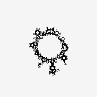 CCC[C@H]1C(=O)N[C@@H]([C@@H](C)CC)C(=O)N(C)CC(=O)N(C)[C@H]2C/C=C\CCN(C2=O)[C@@H](Cc2ccc(C)cc2)C(=O)N(C)CC(=O)N[C@@H](CCc2ccc(C(F)(F)F)c(OC)c2)C(=O)N2C[C@H](OCC)C[C@H]2C(=O)N(C)C2(CCC2)C(=O)N(C)[C@@H](C2CCCC2)C(=O)N(C)[C@H](C(=O)N2CCCCC2)CC(=O)N1C